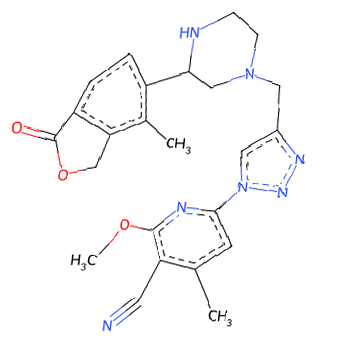 COc1nc(-n2cc(CN3CCNC(c4ccc5c(c4C)COC5=O)C3)nn2)cc(C)c1C#N